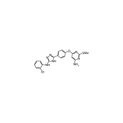 CCc1ccccc1Nc1nnc(-c2ccc(Oc3cc(N)nc(SC)n3)cc2)[nH]1